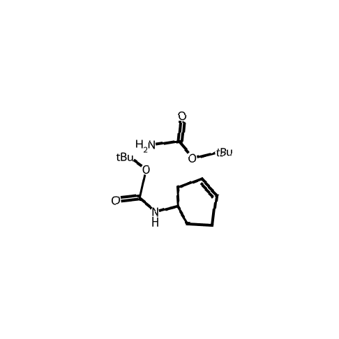 CC(C)(C)OC(=O)NC1CC=CCC1.CC(C)(C)OC(N)=O